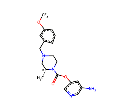 C[C@@H]1CN(Cc2cccc(OC(F)(F)F)c2)CCN1C(=O)Oc1cncc(N)c1